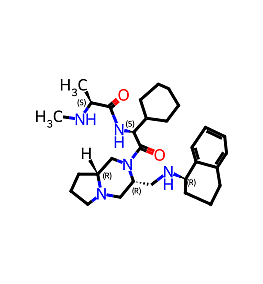 CN[C@@H](C)C(=O)N[C@H](C(=O)N1C[C@H]2CCCN2C[C@H]1CN[C@@H]1CCCc2ccccc21)C1CCCCC1